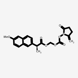 C=C1CCC(=O)N1OC(=O)OCOC(=O)[C@@H](C)c1ccc2cc(OC)ccc2c1